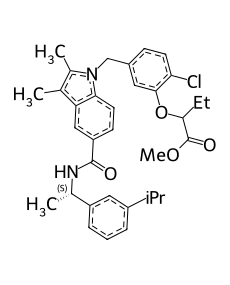 CCC(Oc1cc(Cn2c(C)c(C)c3cc(C(=O)N[C@@H](C)c4cccc(C(C)C)c4)ccc32)ccc1Cl)C(=O)OC